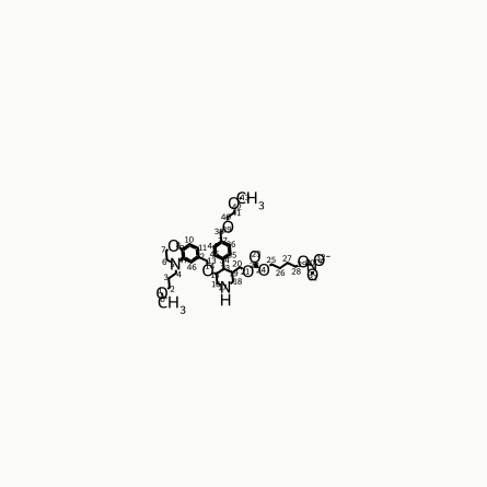 COCCCN1CCOc2ccc(COC3CNCC(COC(=O)OCCCCO[N+](=O)[O-])C3c3ccc(COCCOC)cc3)cc21